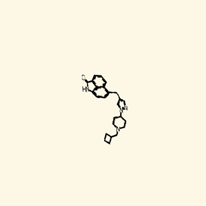 O=C1Nc2ccc(Cc3cnn(C4CCN(CC5CCC5)CC4)c3)c3cccc1c23